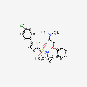 CN(C)CCOc1ccccc1[C@@H]1C[C@]1(NS(=O)(=O)c1ccc(-c2ccc(Cl)cc2)s1)C(=O)O